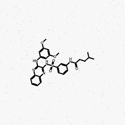 COc1cc(Nc2nc3ccccc3nc2NS(=O)(=O)c2cccc(NC(=O)CCC(C)C)c2)cc(OC)c1